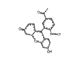 CC(=O)c1ccc(N=O)c(-c2c3ccc(=O)cc-3oc3cc(O)ccc23)c1